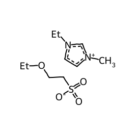 CCOCCS(=O)(=O)[O-].CCn1cc[n+](C)c1